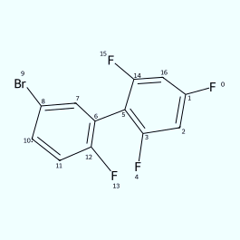 Fc1cc(F)c(-c2cc(Br)[c]cc2F)c(F)c1